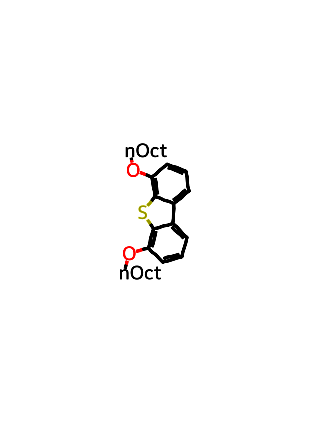 CCCCCCCCOc1cccc2c1sc1c(OCCCCCCCC)cccc12